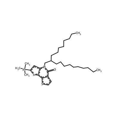 CCCCCCCCCCC(CCCCCCCC)Cn1c(=O)c2ccsc2c2s[c]([Sn]([CH3])([CH3])[CH3])cc21